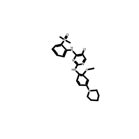 COc1cc(N2CC[CH]CC2)ccc1Nc1ncc(Cl)c(Nc2ccccc2P(C)(C)=O)n1